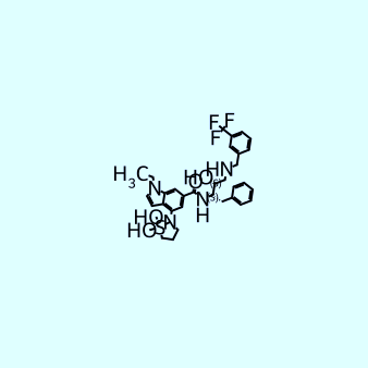 CCn1ccc2c(N3CCCS3(O)O)cc(C(=O)N[C@@H](Cc3ccccc3)[C@@H](O)CNCc3cccc(C(F)(F)F)c3)cc21